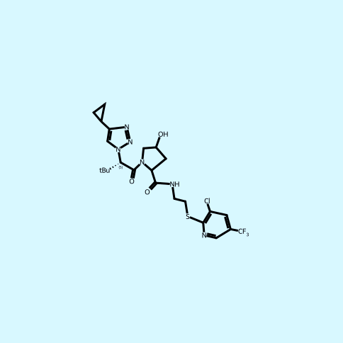 CC(C)(C)[C@@H](C(=O)N1CC(O)CC1C(=O)NCCSc1ncc(C(F)(F)F)cc1Cl)n1cc(C2CC2)nn1